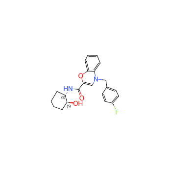 O=C(N[C@H]1CCCC[C@@H]1O)C1=CN(Cc2ccc(F)cc2)c2ccccc2O1